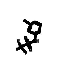 Cc1cccc(NS(=O)(=O)C(F)(F)F)c1